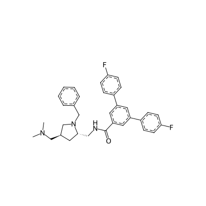 CN(C)C[C@@H]1C[C@@H](CNC(=O)c2cc(-c3ccc(F)cc3)cc(-c3ccc(F)cc3)c2)N(Cc2ccccc2)C1